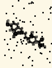 COc1ccc(CNCCC2CCC(C(N)=O)CN2C)c(OC)c1